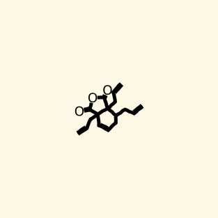 C=CCC1CC=CC2(CC=C)C(=O)OC(=O)C12CC=C